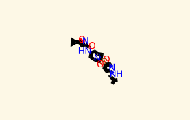 CC(C)CNc1ccc(S(=O)(=O)C23CC4CC(NC(=O)c5cc(C6CC6)on5)CC(C2)N43)cn1